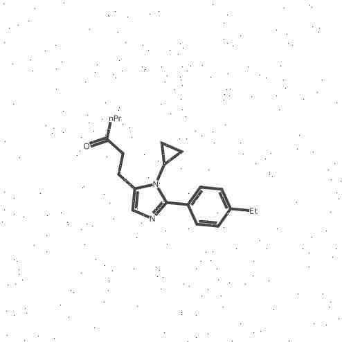 CCCC(=O)CCc1cnc(-c2ccc(CC)cc2)n1C1CC1